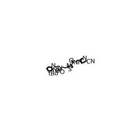 CC(C)(C)OC(=O)N(CCc1nc(C(=O)NCc2ccc(C#N)nc2)cs1)Cc1nc2ccccc2[nH]1